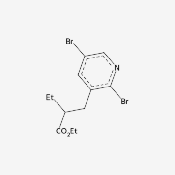 CCOC(=O)C(CC)Cc1cc(Br)cnc1Br